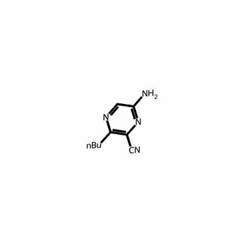 CCCCc1ncc(N)nc1C#N